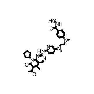 CC(=O)c1c(C)c2cnc(Nc3ccc(N(C)CCN(C)c4ccc(C(=O)NO)cc4)cn3)nc2n(C2CCCC2)c1=O